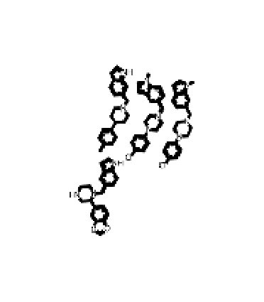 Cc1ccc(C2CCN(Cc3ccc4cc[nH]c4c3)CC2)cc1.Cn1ccc2cc(CN3CCN(c4ccc(Cl)cc4)CC3)ccc21.Cn1ccc2ccc(CN3CCN(c4ccc(Cl)cc4)CC3)cc21.c1cc2cc(CN3CCNCC3c3ccc4c(c3)OCO4)ccc2[nH]1